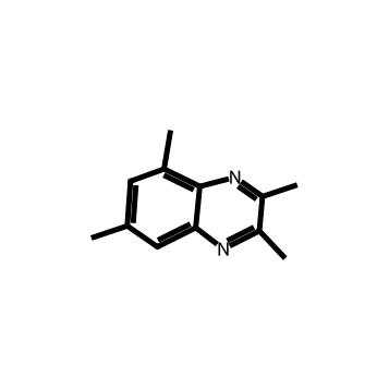 Cc1cc(C)c2nc(C)c(C)nc2c1